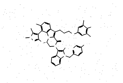 COc1ccc(Cn2c(C(=O)O)c(N3C[C@@H](C)n4c(c(CCCOc5cc(C)c(Cl)c(C)c5)c5ccc(Cl)c(-c6c(C)nn(C)c6C)c54)C3=O)c3ccccc32)nc1